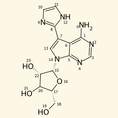 Nc1ncnc2c1c(-c1ncc[nH]1)cn2[C@@H]1O[C@H](CO)C(O)[C@@H]1O